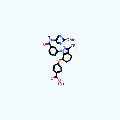 COc1ncc(N(C)C(=O)c2cccc(-n3nc(C(F)(F)F)c4c3C(Oc3ccc(C(=O)OC(C)(C)C)cc3)CCC4)c2)cn1